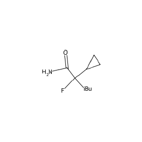 CCC(C)C(F)(C(N)=O)C1CC1